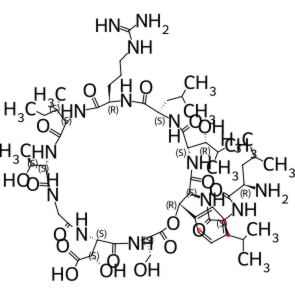 CC[C@H](C)[C@@H]1NC(=O)[C@@H](CCCNC(=N)N)NC(=O)[C@H](CC(C)C)NC(=O)[C@H]([C@H](O)C(C)C)NC(=O)[C@@H](NC(=O)[C@H](CC(C)C)NC(=O)[C@H](N)CC(C)C)[C@@H](c2ccccc2)OC(=O)[C@H](CO)NC(=O)[C@H]([C@H](O)C(=O)O)NC(=O)CNC(=O)[C@H]([C@H](C)O)NC1=O